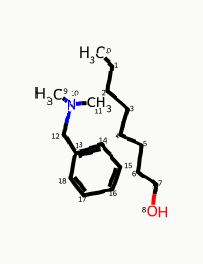 CCCCCCCCO.CN(C)Cc1ccccc1